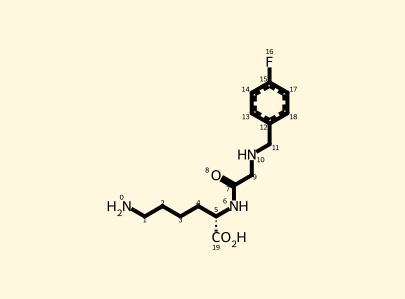 NCCCC[C@H](NC(=O)CNCc1ccc(F)cc1)C(=O)O